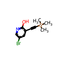 CS(C)(C)C#Cc1cc(Br)cnc1O